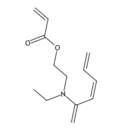 C=C/C=C\C(=C)N(CC)CCOC(=O)C=C